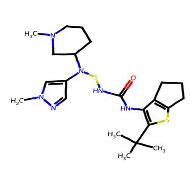 CN1CCCC(N(SNC(=O)Nc2c(C(C)(C)C)sc3c2CCC3)c2cnn(C)c2)C1